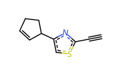 C#Cc1nc(C2C=CCC2)cs1